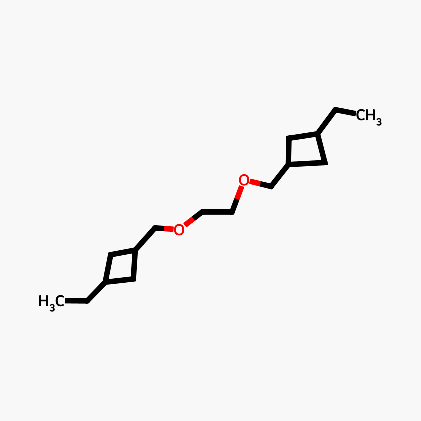 CCC1CC(COCCOCC2CC(CC)C2)C1